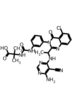 CC(Nc1ncnc(N)c1C#N)c1nc2cccc(Cl)c2c(=O)n1-c1cccc(NC(=O)NC(C)(C)C(=O)O)c1